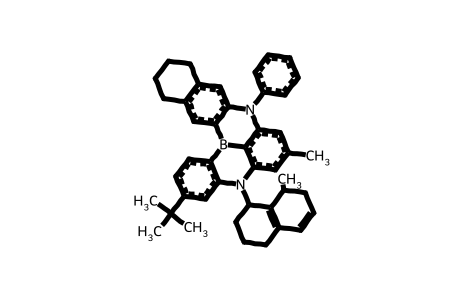 Cc1cc2c3c(c1)N(C1CCCC4=C1C(C)CC=C4)c1cc(C(C)(C)C)ccc1B3c1cc3c(cc1N2c1ccccc1)CCCC3